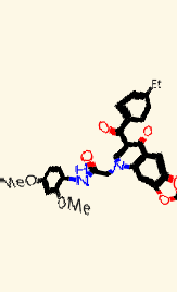 CCc1ccc(C(=O)c2cn(CC(=O)Nc3ccc(OC)cc3OC)c3cc4c(cc3c2=O)OCO4)cc1